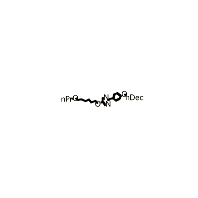 CCCCCCCCCCOc1ccc(-c2ncc(OCCCCCCOCCC)cn2)cc1